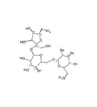 NCC1O[C@H](OCC2OC(O[C@]3(CO)O[C@H](CN)[C@H](O)C3O)C(O)[C@@H](O)[C@@H]2O)C(O)[C@@H](O)[C@@H]1O